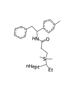 CCCCCCCC(CC)[Si](C)(C)CCC(=O)NC(Cc1ccccc1)c1ccc(C)cc1